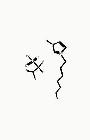 CCCCCCC[n+]1ccn(C)c1.O=S(=O)([O-])C(F)(F)C(F)F